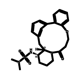 CN(C)S(=O)(=O)N[C@H]1CCCN2C(=O)CCOc3ccccc3-c3cccc(c3)C[C@@H]12